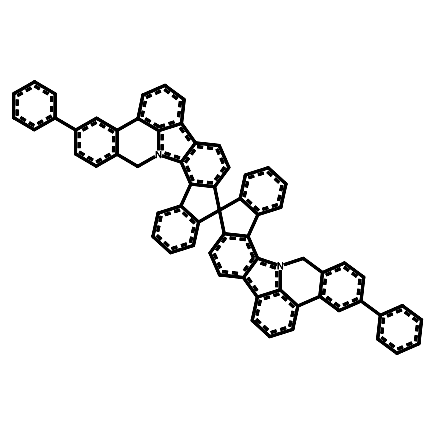 c1ccc(-c2ccc3c(c2)-c2cccc4c5ccc6c(c5n(c24)C3)-c2ccccc2C62c3ccccc3-c3c2ccc2c4cccc5c4n(c32)Cc2ccc(-c3ccccc3)cc2-5)cc1